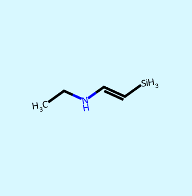 CCNC=C[SiH3]